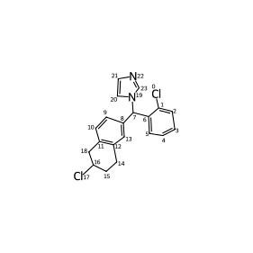 Clc1ccccc1C(c1ccc2c(c1)CCC(Cl)C2)n1ccnc1